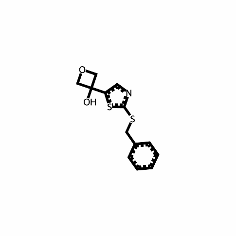 OC1(c2cnc(SCc3ccccc3)s2)COC1